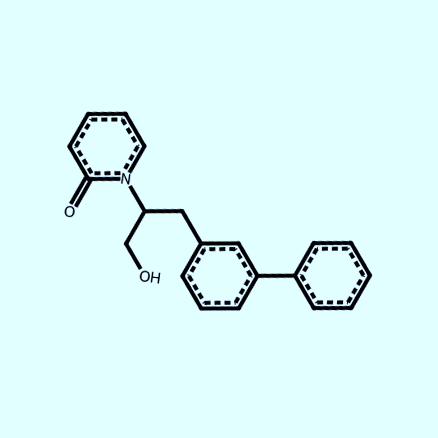 O=c1ccccn1C(CO)Cc1cccc(-c2ccccc2)c1